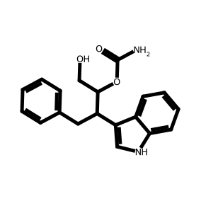 NC(=O)OC(CO)C(Cc1ccccc1)c1c[nH]c2ccccc12